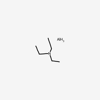 CCN(CC)CC.[AlH3]